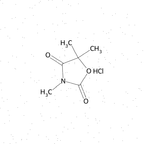 CN1C(=O)OC(C)(C)C1=O.Cl